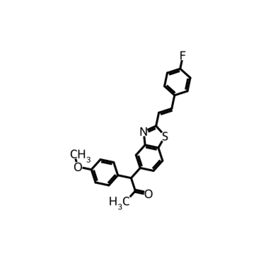 COc1ccc(C(C(C)=O)c2ccc3sc(C=Cc4ccc(F)cc4)nc3c2)cc1